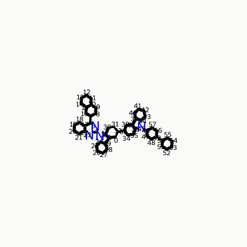 C1=c2c(n(-c3nc(-c4ccc5ccccc5c4)c4ccccc4n3)c3ccccc23)=CCC1c1ccc2c(c1)c1ccccc1n2-c1ccc(-c2ccccc2)cc1